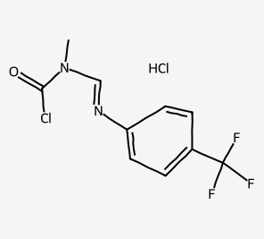 CN(C=Nc1ccc(C(F)(F)F)cc1)C(=O)Cl.Cl